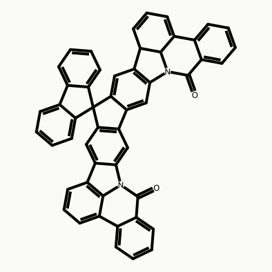 O=C1c2ccccc2C2=CC=CC3c4cc5c(cc4N1C23)-c1cc2c(cc1C51c3ccccc3-c3ccccc31)c1cccc3c4ccccc4c(=O)n2c31